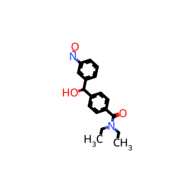 CCN(CC)C(=O)c1ccc(C(O)c2cccc(N=O)c2)cc1